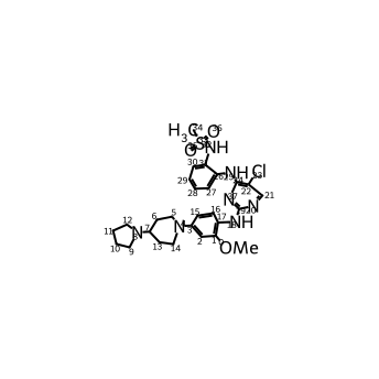 COc1cc(N2CCC(N3CCCC3)CC2)ccc1Nc1ncc(Cl)c(Nc2ccccc2NS(C)(=O)=O)n1